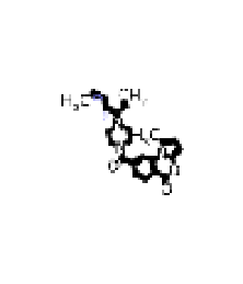 C=C/C(=C\C=C/C)N1CCN(C(=O)c2ccc3c(=O)oc4ccc(C)n4c3c2)CC1